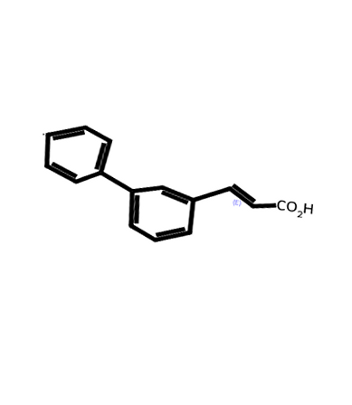 O=C(O)/C=C/c1cccc(-c2cc[c]cc2)c1